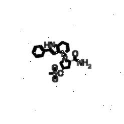 CS(=O)(=O)O[C@H]1C[C@@H](C(N)=O)N(N2C=CCc3[nH]c(-c4ccccc4)cc32)C1